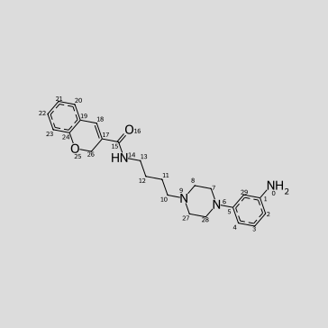 Nc1cccc(N2CCN(CCCCNC(=O)C3=Cc4ccccc4OC3)CC2)c1